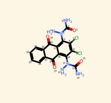 NC(=O)N(N)c1c(Cl)c(Cl)c(N(N)C(N)=O)c2c1C(=O)c1ccccc1C2=O